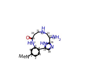 CNc1ccc2c(c1)NC(=O)CCNCC(N)c1ncc-2[nH]1